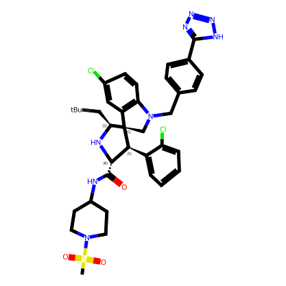 CC(C)(C)C[C@@H]1N[C@@H](C(=O)NC2CCN(S(C)(=O)=O)CC2)[C@H](c2ccccc2Cl)[C@]12CN(Cc1ccc(-c3nnn[nH]3)cc1)c1ccc(Cl)cc12